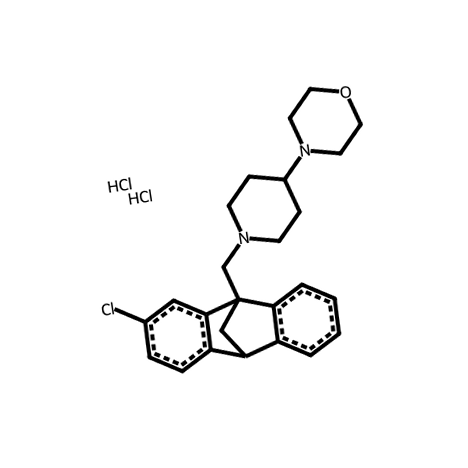 Cl.Cl.Clc1ccc2c(c1)C1(CN3CCC(N4CCOCC4)CC3)CC2c2ccccc21